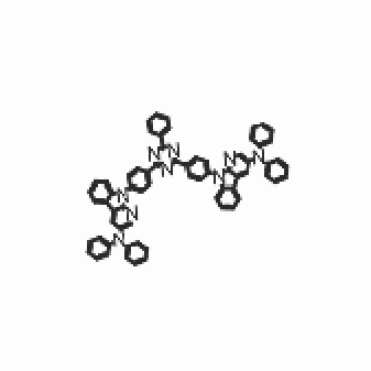 c1ccc(-c2nc(-c3ccc(-n4c5ccccc5c5cc(N(c6ccccc6)c6ccccc6)cnc54)cc3)nc(-c3ccc(-n4c5ccccc5c5cc(N(c6ccccc6)c6ccccc6)cnc54)cc3)n2)cc1